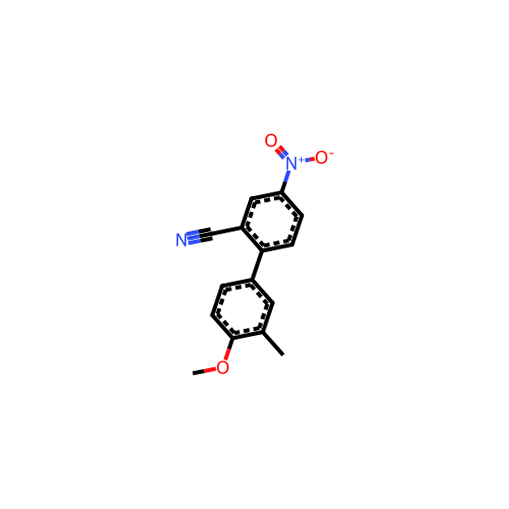 COc1ccc(-c2ccc([N+](=O)[O-])cc2C#N)cc1C